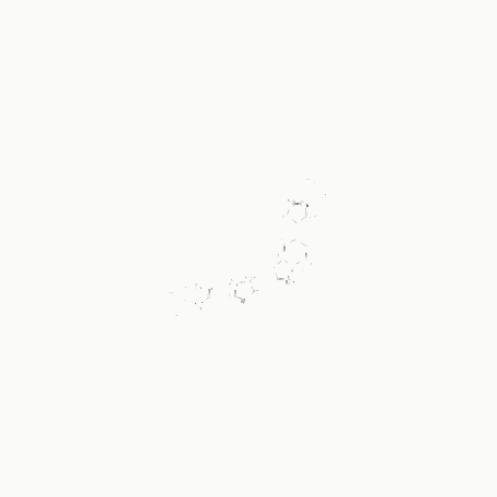 N#CC1(NC(=O)Cc2nnc(Cc3nc4ccc(-c5cnn(C(F)F)c5)cc4s3)o2)CC1